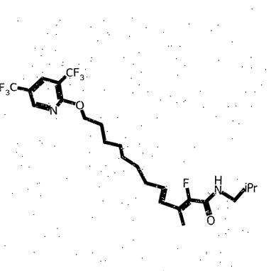 CC(C=CCCCCCCCOc1ncc(C(F)(F)F)cc1C(F)(F)F)=C(F)C(=O)NCC(C)C